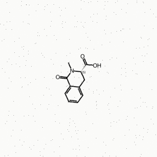 CN1C(=O)c2ccccc2C[C@H]1C(=O)O